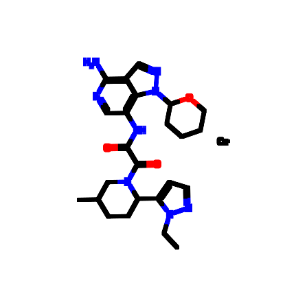 CCn1nccc1C1CCC(C)CN1C(=O)C(=O)Nc1cnc(N)c2cnn(C3CCCCO3)c12.[Cu]